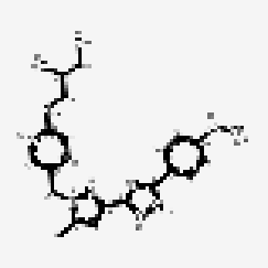 Cc1cc(-c2nc(-c3ccc(OC(F)(F)F)cc3)no2)nn1Cc1ccc(NCC(O)CO)nc1